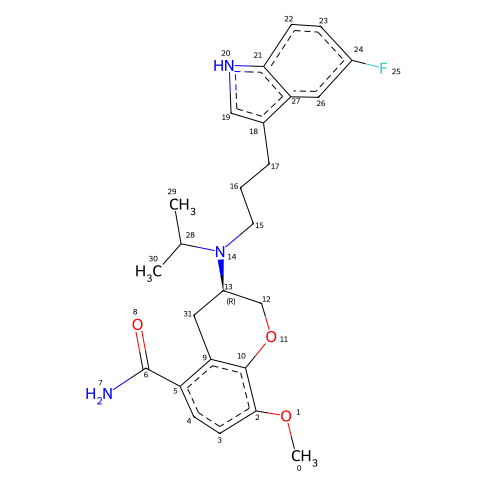 COc1ccc(C(N)=O)c2c1OC[C@H](N(CCCc1c[nH]c3ccc(F)cc13)C(C)C)C2